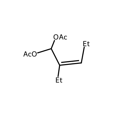 CCC=C(CC)C(OC(C)=O)OC(C)=O